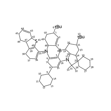 CC(C)(C)C1C=C2B3C4=C(CC(C5CCCCC5)C=C4N4C5C3CC(C(C)(C)C)CC5C3(CCCCC3)C4(C)C)N(C3=CCCC4=C3SC3C=CCCC43)C2CC1